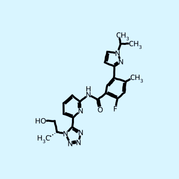 Cc1cc(F)c(C(=O)Nc2cccc(-c3nnnn3[C@H](C)CO)n2)cc1-c1ccn(C(C)C)n1